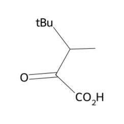 CC(C(=O)C(=O)O)C(C)(C)C